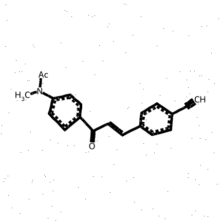 C#Cc1ccc(C=CC(=O)c2ccc(N(C)C(C)=O)cc2)cc1